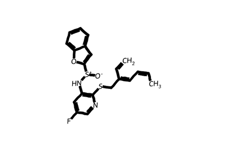 C=C/C(=C\C=C/C)CSc1ncc(F)cc1N[S+]([O-])c1cc2ccccc2o1